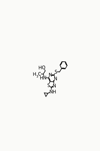 CC(CO)Nc1nc(SCc2ccccc2)nc2nc(NC3CC3)sc12